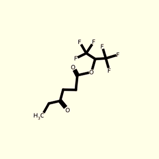 CCC(=O)CCC(=O)OC(C(F)(F)F)C(F)(F)F